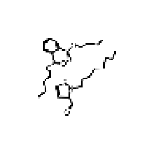 CCCCCCCCN1SC=CC1C=O.CCCCOC(=O)c1ccccc1C(=O)OCCCC